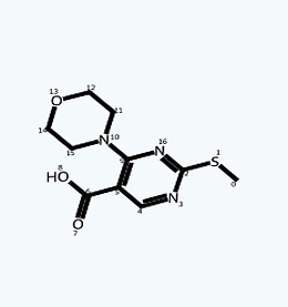 CSc1ncc(C(=O)O)c(N2CCOCC2)n1